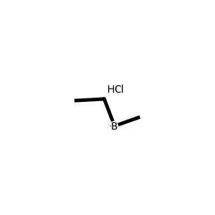 C[B]CC.Cl